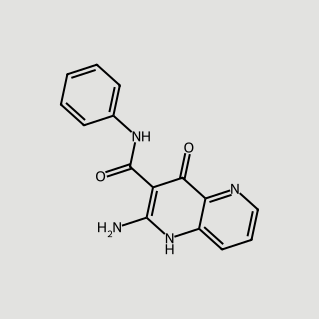 Nc1[nH]c2cccnc2c(=O)c1C(=O)Nc1ccccc1